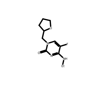 CCNc1nc(=O)n(CC2CCCO2)cc1F